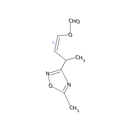 Cc1nc(C(C)/C=C\OC=O)no1